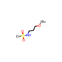 CCS(=O)(=O)NCCCOC(C)(C)C